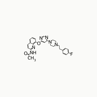 CC(=O)Nc1ccc2cccc(Oc3cc(N4CCN(CCc5ccc(F)cc5)CC4)ncn3)c2n1